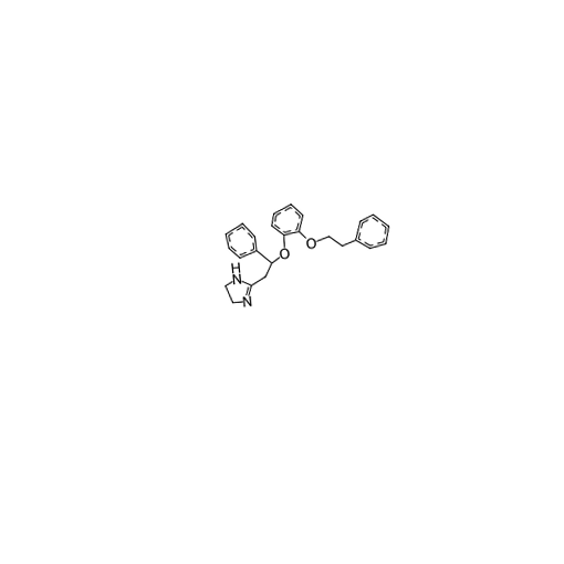 c1ccc(CCOc2ccccc2OC(CC2=NCCN2)c2ccccc2)cc1